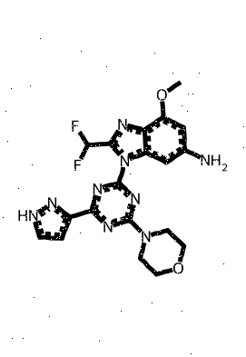 COc1cc(N)cc2c1nc(C(F)F)n2-c1nc(-c2cc[nH]n2)nc(N2CCOCC2)n1